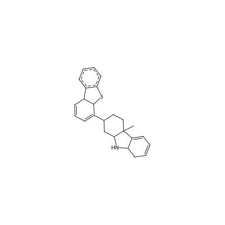 CC12CCC(C3=CC=CC4c5ccccc5SC34)CC1NC1CC=CC=C12